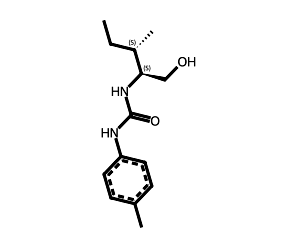 CC[C@H](C)[C@@H](CO)NC(=O)Nc1ccc(C)cc1